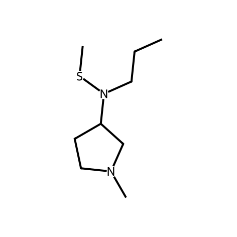 CCCN(SC)C1CCN(C)C1